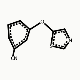 N#Cc1cccc(Oc2cn[c]s2)c1